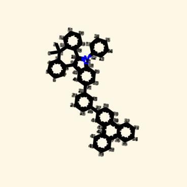 CC1(C)c2ccccc2-c2c(n(-c3ccccc3)c3ccc(-c4cccc(-c5ccc6c7ccccc7c7ccccc7c6c5)c4)cc23)-c2ccccc21